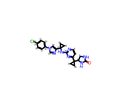 O=C1NCC(C2(c3ccnc(NC4(c5cn(-c6ccc(Cl)cc6)cn5)CC4)n3)CC2)N1